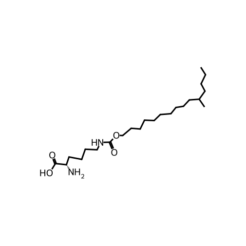 CCCCC(C)CCCCCCCCCCOC(=O)NCCCC[C@H](N)C(=O)O